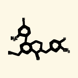 Cc1cc(CN2CCc3c(cc(CBr)cc3-c3ccc(F)cc3C)C2=O)ccc1F